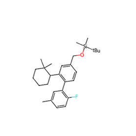 Cc1ccc(F)c(-c2ccc(CO[Si](C)(C)C(C)(C)C)cc2C2CCCCC2(C)C)c1